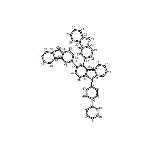 c1ccc(-c2ccc(-n3c4ccccc4c4c(-c5ccc6sc7ccccc7c6c5)c(-c5ccc6sc7ccccc7c6c5)ccc43)cc2)cc1